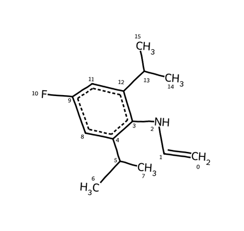 C=CNc1c(C(C)C)cc(F)cc1C(C)C